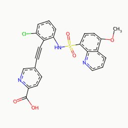 COc1ccc(S(=O)(=O)Nc2cccc(Cl)c2C#Cc2ccc(C(=O)O)nc2)c2ncccc12